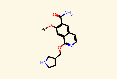 CC(C)Oc1cc2c(OC[C@H]3CCNC3)nccc2cc1C(N)=O